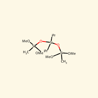 CO[Si](C)(OC)O[Si](O[Si](C)(OC)OC)(C(C)C)C(C)C